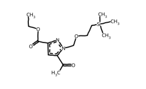 CCOC(=O)c1cc(C(C)=O)n(COCC[Si](C)(C)C)n1